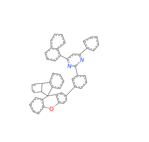 C1=CC2c3ccccc3C3(c4ccccc4Oc4ccc(-c5cccc(-c6nc(-c7ccccc7)cc(-c7cccc8ccccc78)n6)c5)cc43)C2C=C1